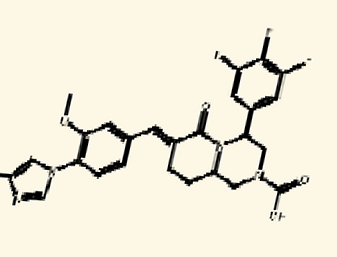 COc1cc(/C=C2\CCC3CN(C(=O)O)CC(c4cc(F)c(F)c(F)c4)N3C2=O)ccc1-n1cnc(C)c1